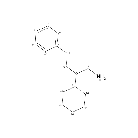 NCC(CCc1ccccc1)C1CCCCC1